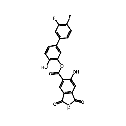 O=C(Oc1cc(-c2ccc(F)c(F)c2)ccc1O)c1cc2c(cc1O)C(=O)NC2=O